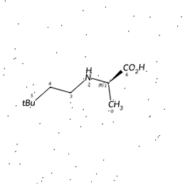 C[C@@H](NCCC(C)(C)C)C(=O)O